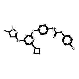 CC1CC(Nc2cc(N3CCC3)nc(Sc3ccc(NC(=O)Cc4ccc(Cl)cc4)cc3)n2)=NN1